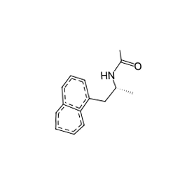 CC(=O)N[C@H](C)Cc1cccc2ccccc12